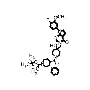 COc1cc(-n2ccc3c(=O)n(CC4(O)CCN(C(=O)[C@@H]5CCN(C(=O)OC(C)(C)C)C[C@H]5c5ccccc5)CC4)cnc32)ccc1F